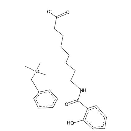 C[N+](C)(C)Cc1ccccc1.O=C([O-])CCCCCCCNC(=O)c1ccccc1O